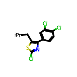 CC(C)Cc1sc(Cl)nc1-c1ccc(Cl)c(Cl)c1